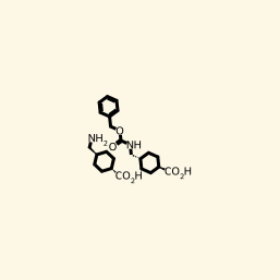 NC[C@H]1CC[C@H](C(=O)O)CC1.O=C(NC[C@H]1CC[C@H](C(=O)O)CC1)OCc1ccccc1